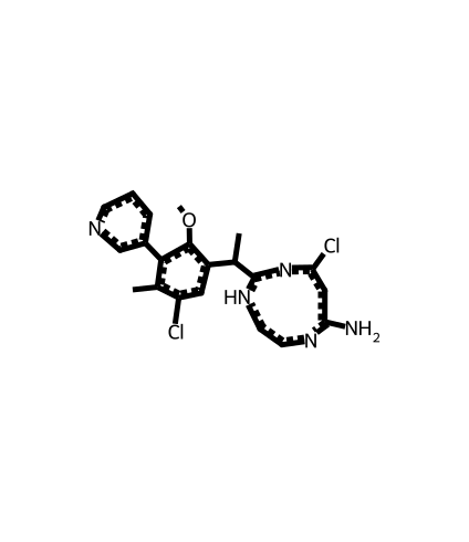 COc1c(C(C)c2nc(Cl)cc(N)ncc[nH]2)cc(Cl)c(C)c1-c1cccnc1